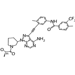 Cc1ccc(NC(=O)c2ccc(C)c(C(F)(F)F)c2)cc1C#Cc1nn(C2CCCN(C(=O)[C@@H](C)O)C2)c2ncnc(N)c12